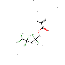 C=C(C)C(=O)OCC(F)(F)CC(F)(F)C(F)F